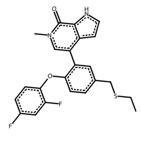 CCSCc1ccc(Oc2ccc(F)cc2F)c(-c2cn(C)c(=O)c3[nH]ccc23)c1